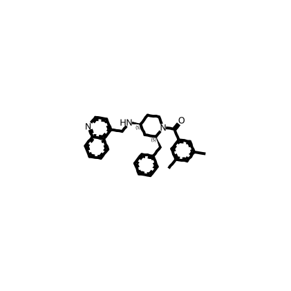 Cc1cc(C)cc(C(=O)N2CC[C@H](NCc3ccnc4ccccc34)C[C@@H]2Cc2ccccc2)c1